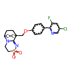 O=S1(=O)CCN2C(=N1)C1(COc3ccc(-c4ncc(Cl)cc4F)cc3)CCC2CC1